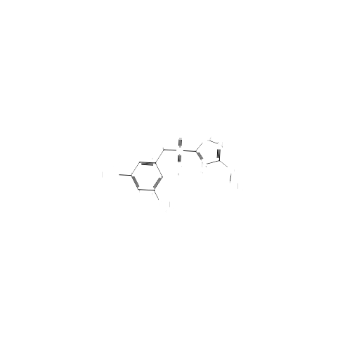 COc1nsc(S(=O)(=O)Cc2cc(C)cc(C)c2)n1